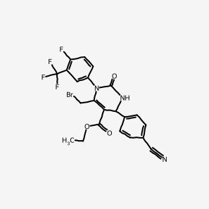 CCOC(=O)C1=C(CBr)N(c2ccc(F)c(C(F)(F)F)c2)C(=O)NC1c1ccc(C#N)cc1